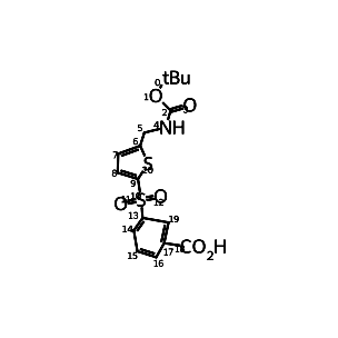 CC(C)(C)OC(=O)NCc1ccc(S(=O)(=O)c2cccc(C(=O)O)c2)s1